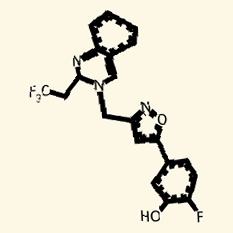 Oc1cc(-c2cc(CN3C=c4ccccc4=NC3CC(F)(F)F)no2)ccc1F